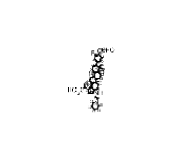 CC(C(=O)O)[C@@H]1CC[C@]2(NCCN3CCCCC3)CC[C@]3(C)[C@H](CC[C@@H]4[C@@]5(C)CC=C(c6ccc(OC=O)c(F)c6)C(C)(C)[C@@H]5CC[C@]43C)[C@@H]12